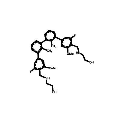 COc1cc(-c2cccc(-c3cccc(-c4cc(F)c(CNCCO)c(OC)c4)c3C)c2C)cc(F)c1CNCCO